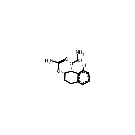 NC(=O)O[C@H]1CCc2cccc(Cl)c2[C@H]1OC(N)=O